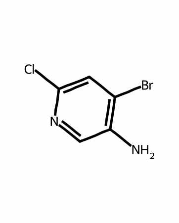 Nc1cnc(Cl)cc1Br